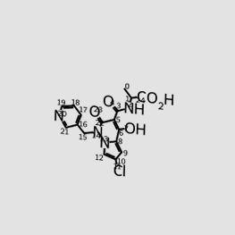 CC(NC(=O)c1c(O)c2cc(Cl)cn2n(Cc2cccnc2)c1=O)C(=O)O